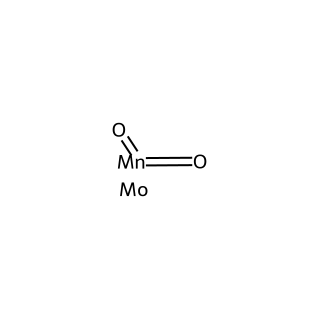 [Mo].[O]=[Mn]=[O]